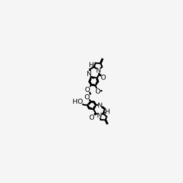 C=C1C[C@H]2C=Nc3cc(OCOc4cc5c(cc4OC)C(=O)N4CC(=C)C[C@H]4C=N5)c(CO)cc3C(=O)N2C1